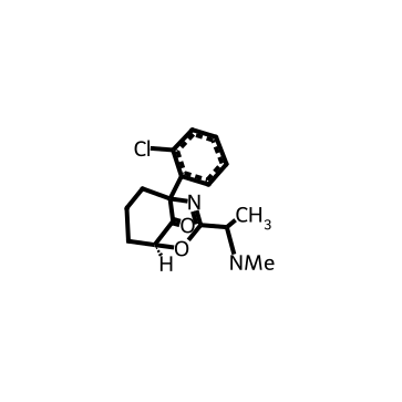 CNC(C)C1=NC2(c3ccccc3Cl)CCC[C@H](O1)C2=O